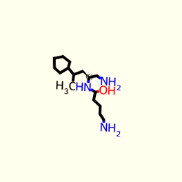 CC(C[C@@H](CN)NC(O)CCCCN)C1CCCCC1